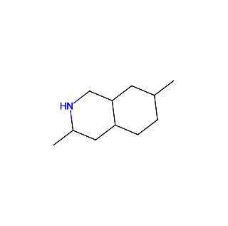 CC1CCC2CC(C)NCC2C1